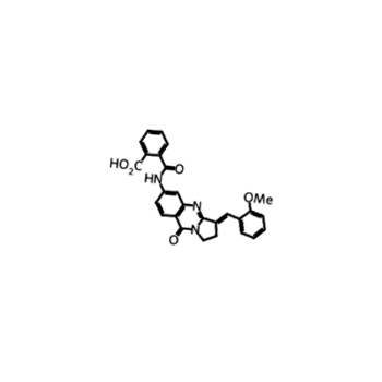 COc1ccccc1/C=C1\CCn2c1nc1cc(NC(=O)c3ccccc3C(=O)O)ccc1c2=O